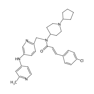 Cc1cc(Nc2ccc(CN(C(=O)C=Cc3ccc(Cl)cc3)C3CCN(C4CCCC4)CC3)nc2)ccn1